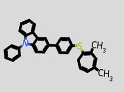 CC1=CC(C)=C(Sc2ccc(-c3ccc4c(c3)c3ccccc3n4-c3ccccc3)cc2)CC=C1